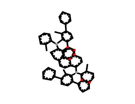 Cc1ccccc1N(c1c(-c2ccccc2)ccc(-c2ccccc2)c1C)c1ccc2ccc3c(N(c4ccccc4C)c4c(-c5ccccc5)ccc(-c5ccccc5)c4C)ccc4ccc1c2c43